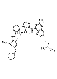 Cc1nc(Nc2cccc(-c3cccc(-c4nc5cc(CN6CCCCC6)cc(C#N)c5o4)c3C)c2C)c2ncc(CNC[C@H](C)O)cc2n1